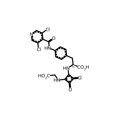 O=C(O)CNc1c(N[C@@H](Cc2ccc(NC(=O)c3c(Cl)cncc3Cl)cc2)C(=O)O)c(=O)c1=O